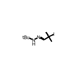 CC(C)(I)/C=N/NC(C)(C)C